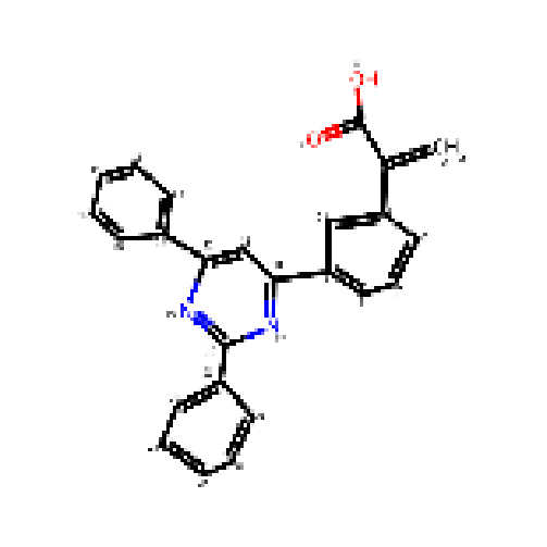 C=C(C(=O)O)c1cccc(-c2cc(-c3ccccc3)nc(-c3ccccc3)n2)c1